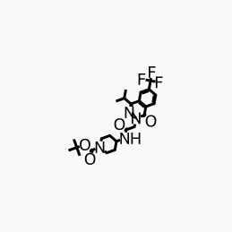 CC(C)c1nn(CC(=O)NC2CCN(C(=O)OC(C)(C)C)CC2)c(=O)c2ccc(C(F)(F)F)cc12